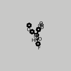 CS(=O)(=O)Oc1ccc(C2CN(C(=O)Nc3ccc(F)cc3)N=C2c2ccc(Oc3ccccc3)cc2)cc1